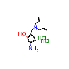 C=CCN(CC=C)Cc1ccc(N)cc1O.Cl.Cl